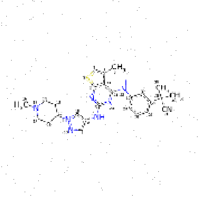 Cc1csc2nc(Nc3cnn(C4CCN(C)CC4)c3)nc(Nc3cccc(C(C)(C)C#N)c3)c12